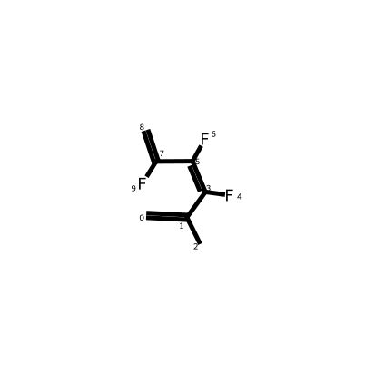 C=C(C)/C(F)=C(/F)C(=C)F